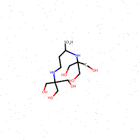 O=S(=O)(O)C(CCNC(CO)(CO)CO)NC(CO)(CO)CO